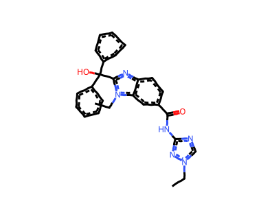 CCn1cnc(NC(=O)c2ccc3nc(C(O)(c4ccccc4)c4ccccc4)n(CC)c3c2)n1